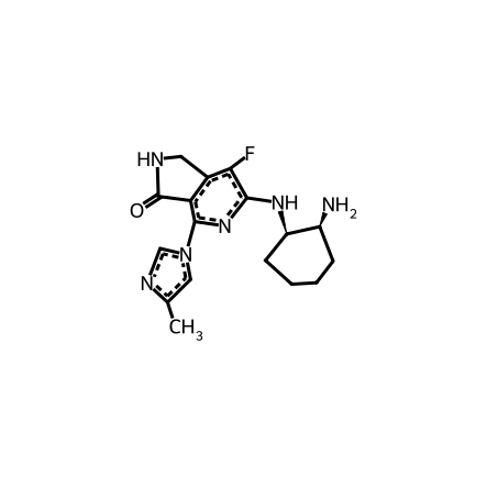 Cc1cn(-c2nc(N[C@@H]3CCCC[C@@H]3N)c(F)c3c2C(=O)NC3)cn1